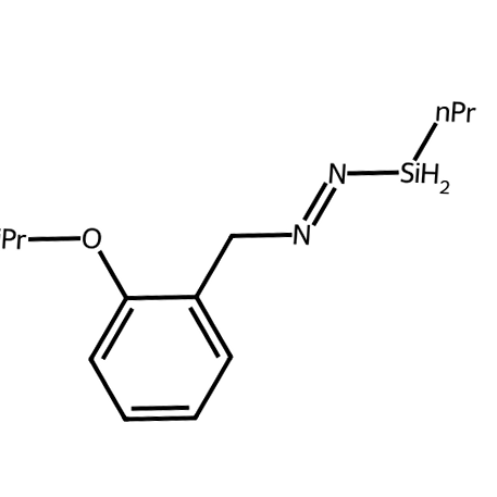 CCC[SiH2]N=NCc1ccccc1OC(C)C